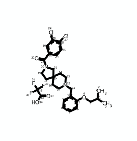 CC(C)COc1ccccc1CN1CCC2(CC1)CCN(C(=O)c1ccc(Cl)c(Cl)c1)C2.O=C(O)C(F)(F)F